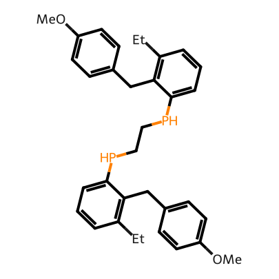 CCc1cccc(PCCPc2cccc(CC)c2Cc2ccc(OC)cc2)c1Cc1ccc(OC)cc1